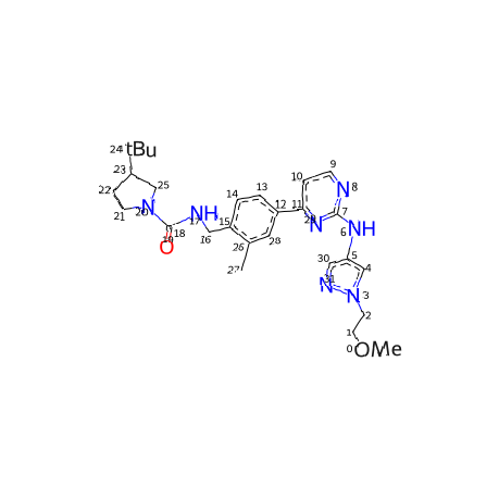 COCCn1cc(Nc2nccc(-c3ccc(CNC(=O)N4CCC(C(C)(C)C)C4)c(C)c3)n2)cn1